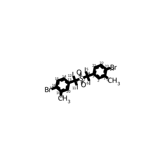 Cc1cc(C(I)(I)S(=O)(=O)C(I)(I)c2ccc(Br)c(C)c2)ccc1Br